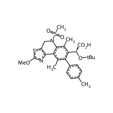 COc1nc2c(s1)CN(S(C)(=O)=O)c1c(C)c([C@H](OC(C)(C)C)C(=O)O)c(-c3ccc(C)cc3)c(C)c1-2